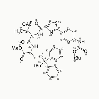 COC(=O)C(CO[Si](c1ccccc1)(c1ccccc1)C(C)(C)C)NC(=O)C(NC(=O)c1csc(-c2ccc(NC(=O)OC(C)(C)C)cc2)n1)C(C)OC(C)=O